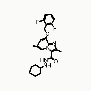 Cc1cc(OCc2c(F)cccc2F)c2nc(C)c(C(=O)NNC3CCCCC3)n2c1